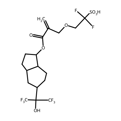 C=C(COCC(F)(F)S(=O)(=O)O)C(=O)OC1CCC2CC(C(O)(C(F)(F)F)C(F)(F)F)CCC21